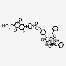 CCCCC[C@H](NC(=O)[C@H](Cc1ccccc1)NC(=O)OCc1ccccc1)C(=O)Nc1ccc(COC(=O)N2CCN(c3cc4c(cc3F)c(=O)c(C(=O)O)cn4CC)CC2)cc1